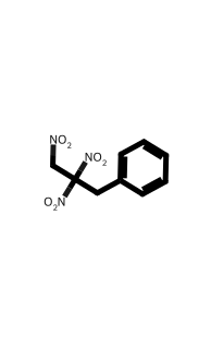 O=[N+]([O-])CC(Cc1ccccc1)([N+](=O)[O-])[N+](=O)[O-]